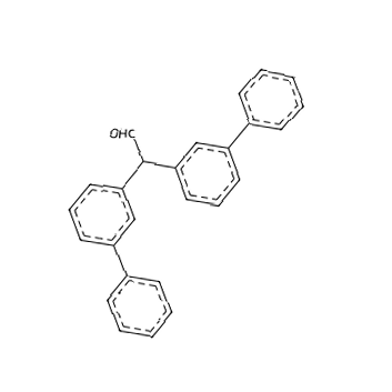 O=CC(c1cccc(-c2ccccc2)c1)c1cccc(-c2ccccc2)c1